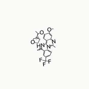 COc1cc2nc(C)nc(N[C@H](C)c3cccc(C(F)(F)F)c3)c2cc1OC(C)[C@H]1CCOC1